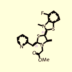 C=C1/C(=C2\Sc3cccc(F)c3N2C)S/C(=C\c2ccccn2)N1CC(=O)OC